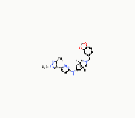 Cc1nn(C)cc1-c1ccc(N[C@H]2C[C@@H]3CN(Cc4ccc5c(c4)OCO5)C[C@@H]3C2)nn1